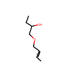 C/C=C/COCC(O)CC